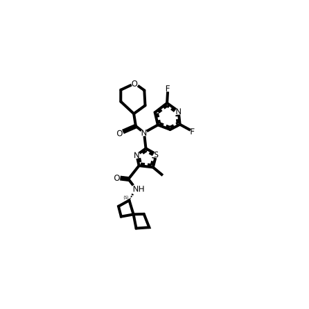 Cc1sc(N(C(=O)C2CCOCC2)c2cc(F)nc(F)c2)nc1C(=O)N[C@H]1CCC12CCC2